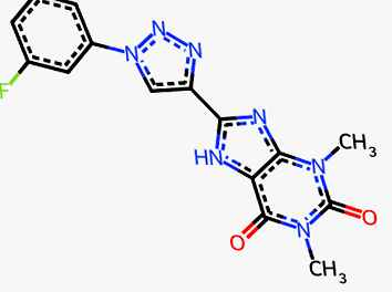 Cn1c(=O)c2[nH]c(-c3cn(-c4cccc(F)c4)nn3)nc2n(C)c1=O